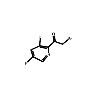 O=C(CBr)c1ncc(F)cc1F